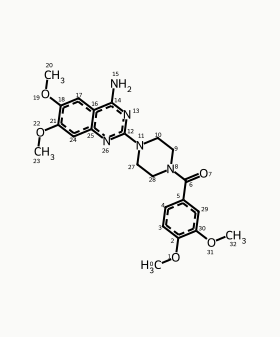 COc1ccc(C(=O)N2CCN(c3nc(N)c4cc(OC)c(OC)cc4n3)CC2)cc1OC